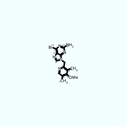 COc1c(C)cnc(Cn2cnc3c(Br)nc(N)nc32)c1C